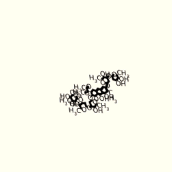 COC(C(C)=O)[C@@H]1Cc2cc3cc(OC4CC(OC5CC(O)C(O)C(C)O5)C(O)C(C)O4)c(C)c(O)c3c(O)c2C(=O)[C@H]1OC1CC(OC2CC(OC3CC(C)(O)C(O)C(C)O3)C(O)C(C)O2)C(O)C(C)O1